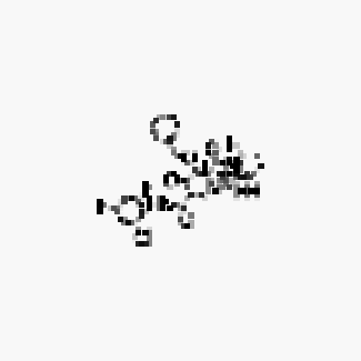 C[C@H]1[C@H]2CC[C@@H]1N1C(=O)c3c(OCc4ccccc4)c(=O)c(C(=O)NCc4c(F)cc(F)cc4Cl)cn3C[C@@H]21